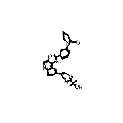 CC(Nc1c(Cl)cnc2ccc(-c3cnc(C(C)(C)O)nc3)cc12)c1cccc(N2CCCC2=O)c1